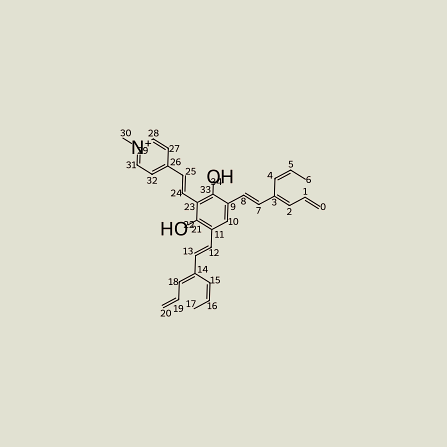 C=C/C=C(\C=C/C)/C=C/c1cc(/C=C/C(/C=C\C)=C/C=C)c(O)c(/C=C/c2cc[n+](C)cc2)c1O